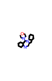 c1ccc2c(c1)=NCc1cc3ccccc3n1C=2N1CCOCC1